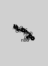 CCCCOC(=O)CC1(C(=O)NCc2nc3cc(OCC(=O)N4CCN(C)CC4)c(OC)cc3s2)Cc2ccccc2C1